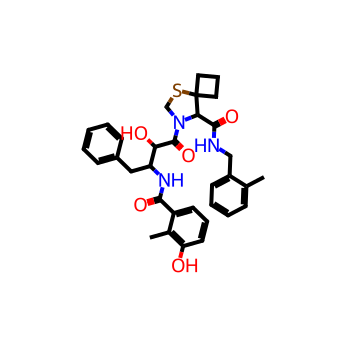 Cc1ccccc1CNC(=O)C1N(C(=O)C(O)C(Cc2ccccc2)NC(=O)c2cccc(O)c2C)CSC12CCC2